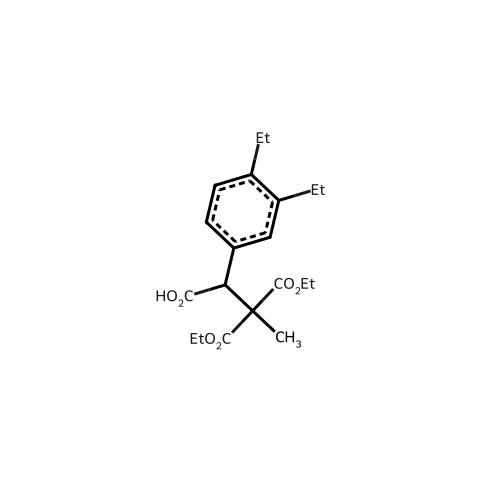 CCOC(=O)C(C)(C(=O)OCC)C(C(=O)O)c1ccc(CC)c(CC)c1